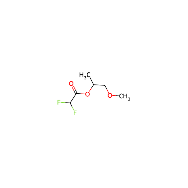 COCC(C)OC(=O)C(F)F